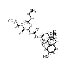 CC(OC(=O)C(CC(=O)OC1=CC[C@@]2(O)[C@H]3Cc4ccc(O)c5c4[C@@]2(CCN3C)[C@H]1O5)OC(=O)CCN)C(=O)O